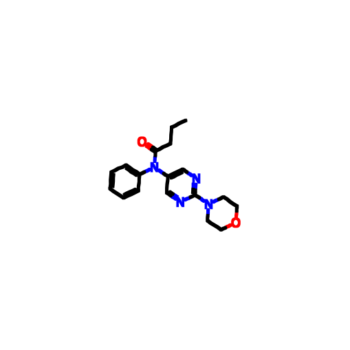 CCCC(=O)N(c1ccccc1)c1cnc(N2CCOCC2)nc1